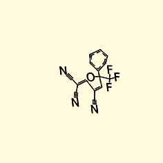 N#CC1=CC(c2ccccc2)(C(F)(F)F)OC1=C(C#N)C#N